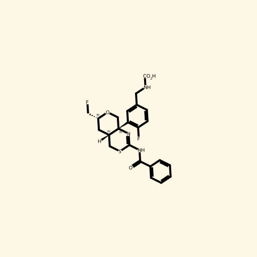 O=C(O)NCc1ccc(F)c([C@]23CO[C@@H](CF)C[C@H]2CSC(NC(=O)c2ccccc2)=N3)c1